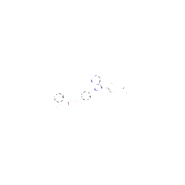 COc1ccc(F)cc1C(=O)NCc1ccc(-c2nc(C3=CCN(C(=O)CO)CC3)c3ccnc(N)n23)cc1